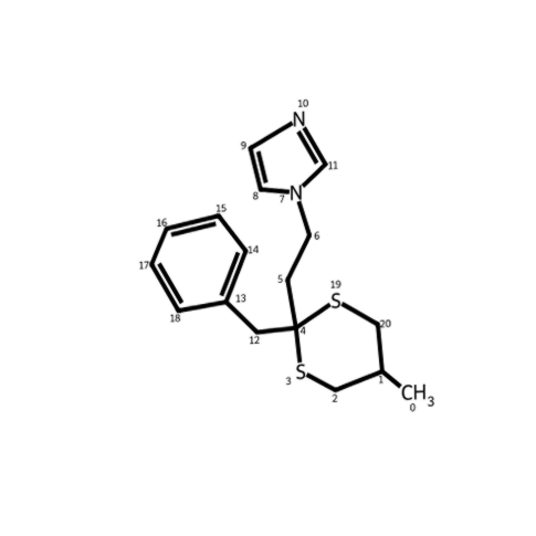 CC1CSC(CCn2ccnc2)(Cc2ccccc2)SC1